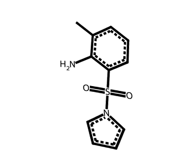 Cc1cccc(S(=O)(=O)n2cccc2)c1N